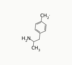 [CH2]c1ccc(CC(C)N)cc1